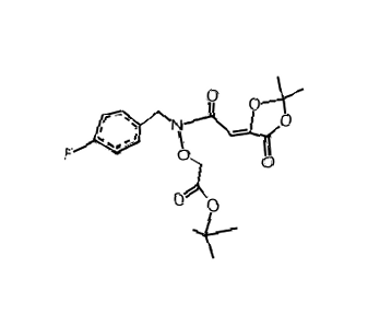 CC(C)(C)OC(=O)CON(Cc1ccc(F)cc1)C(=O)C=C1OC(C)(C)OC1=O